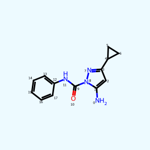 Nc1cc(C2CC2)nn1C(=O)Nc1ccccc1